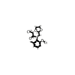 CCOc1cccc(C)c1N(CC1OCCO1)C(=O)CCl